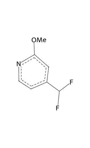 COc1cc(C(F)F)ccn1